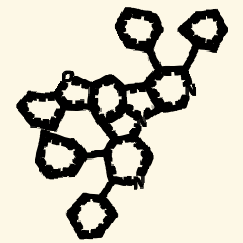 c1ccc(-c2ncc3c(c2-c2ccccc2)c2cc4oc5ccccc5c4c4c5c(-c6ccccc6)c(-c6ccccc6)ncc5n3c24)cc1